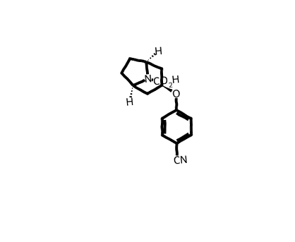 N#Cc1ccc(O[C@H]2C[C@H]3CC[C@@H](C2)N3C(=O)O)cc1